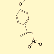 C=C(C[N+](=O)[O-])c1ccc(OC)cc1